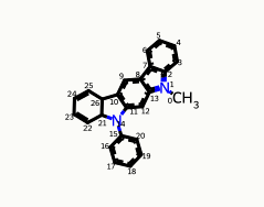 Cn1c2ccccc2c2cc3c(cc21)N(c1ccccc1)C1C=CC=CC31